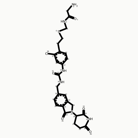 NCC(=O)NCSCCc1ccc(NC(=O)NCc2ccc3c(c2)CN(C2CCC(=O)NC2=O)C3=O)cc1Cl